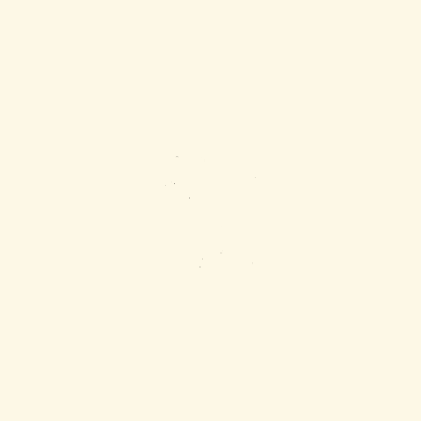 Cc1cc(C(=O)O)cc2ncsc12